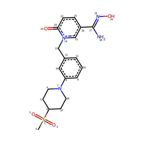 CS(=O)(=O)C1CCN(c2cccc(Cn3cc(/C(N)=N/O)ccc3=O)c2)CC1